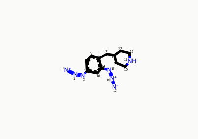 [N-]=[N+]=Nc1ccc(CC2CCNCC2)c(N=[N+]=[N-])c1